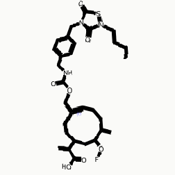 C=C(C(=O)O)C1CC/C(COC(=O)NCc2ccc(Cn3c(=O)sn(CCCC)c3=O)cc2)=C\CCC(C)C(OF)C1